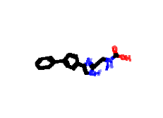 O=C(O)NCc1nc(-c2ccc(-c3ccccc3)cc2)c[nH]1